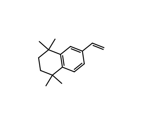 C=Cc1ccc2c(c1)C(C)(C)CCC2(C)C